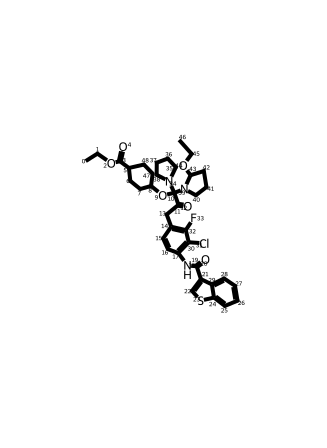 CCOC(=O)C1CCC(OC(C(=O)Cc2ccc(NC(=O)c3csc4ccccc34)c(Cl)c2F)(N2CCCC2)N2CCCC2OCC)CC1